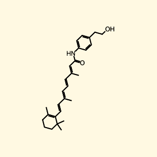 CC1=C(/C=C/C(C)=C/C=C/C(C)=C/C(=O)Nc2ccc(CCO)cc2)C(C)(C)CCC1